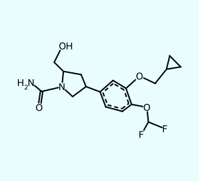 NC(=O)N1CC(c2ccc(OC(F)F)c(OCC3CC3)c2)CC1CO